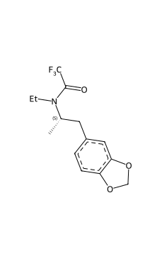 CCN(C(=O)C(F)(F)F)[C@@H](C)Cc1ccc2c(c1)OCO2